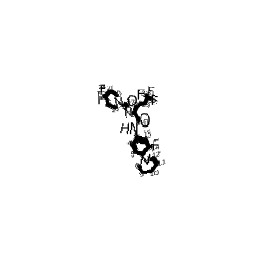 O=C(Nc1ccc(N2CCCCC2)c(F)c1)c1nc(N2CCC(F)(F)CC2)oc1CC(F)(F)F